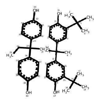 CC(C)(C)c1cc(C(C)(C)c2ccc(O)c(C(C)(C)C)c2)ccc1O.CCC(C)(c1ccc(O)cc1)c1ccc(O)cc1